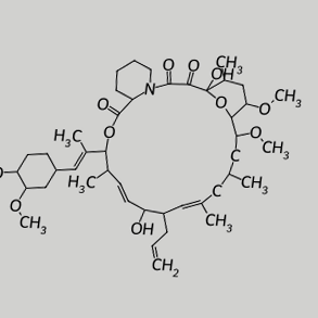 C=CCC1/C=C(\C)CC(C)CC(OC)C2OC(O)(C(=O)C(=O)N3CCCCC3C(=O)OC(C(C)=CC3CCC(O)C(OC)C3)C(C)/C=C/C1O)C(C)CC2OC